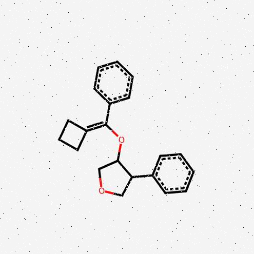 c1ccc(C(OC2COCC2c2ccccc2)=C2CCC2)cc1